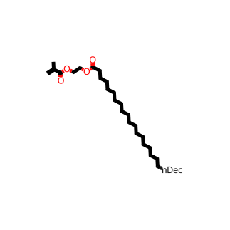 C=C(C)C(=O)OCCOC(=O)CCCCCCCCCCCCCCCCCCCCCCCCCCCC